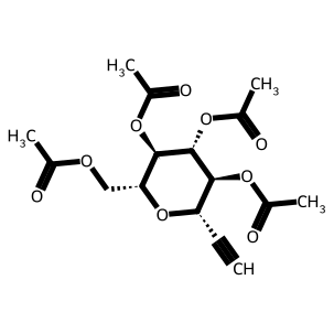 C#C[C@@H]1O[C@H](COC(C)=O)[C@@H](OC(C)=O)[C@H](OC(C)=O)[C@H]1OC(C)=O